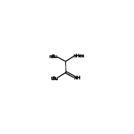 CCCCCCC(CCCC)C(=N)C(C)(C)C